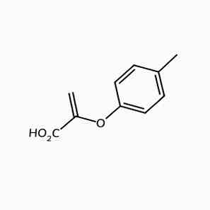 C=C(Oc1ccc(C)cc1)C(=O)O